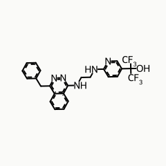 OC(c1ccc(NCCNc2nnc(Cc3ccccc3)c3ccccc23)nc1)(C(F)(F)F)C(F)(F)F